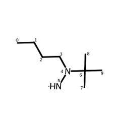 CCCCN([NH])C(C)(C)C